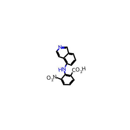 O=C(O)c1cccc([N+](=O)[O-])c1Nc1cccc2cnccc12